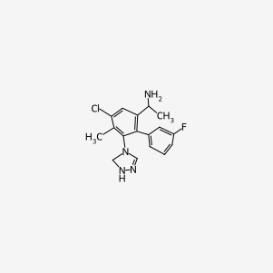 Cc1c(Cl)cc(C(C)N)c(-c2cccc(F)c2)c1N1C=NNC1